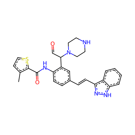 Cc1ccsc1C(=O)Nc1ccc(C=Cc2n[nH]c3ccccc23)cc1C(C=O)N1CCNCC1